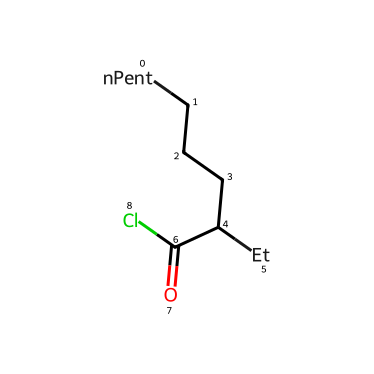 CCCCCCCCC(CC)C(=O)Cl